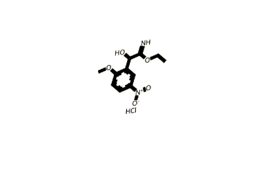 CCOC(=N)C(O)c1cc([N+](=O)[O-])ccc1OC.Cl